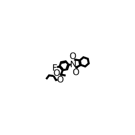 CCC1COC(C)(c2cc(N3C(=O)C4=C(CCCC4)C3=O)ccc2F)O1